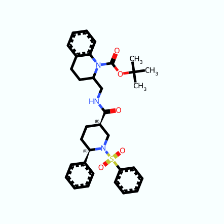 CC(C)(C)OC(=O)N1c2ccccc2CCC1CNC(=O)[C@@H]1CC[C@H](c2ccccc2)N(S(=O)(=O)c2ccccc2)C1